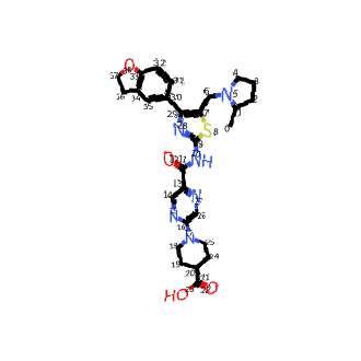 CC1CCCN1Cc1sc(NC(=O)c2cnc(N3CCC(C(=O)O)CC3)cn2)nc1-c1ccc2c(c1)CCO2